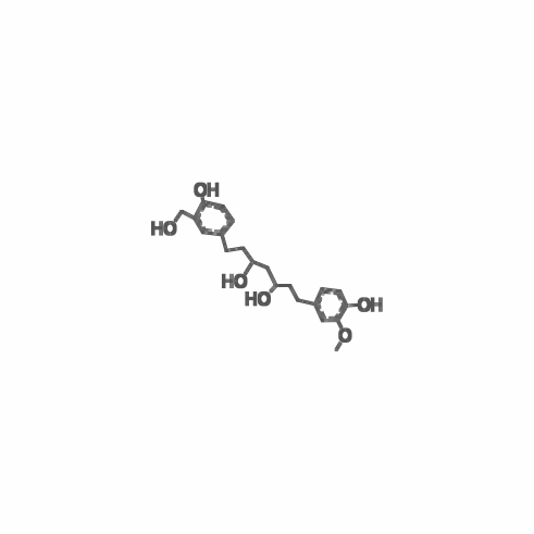 COc1cc(CCC(O)CC(O)CCc2ccc(O)c(CO)c2)ccc1O